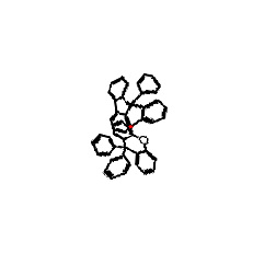 c1ccc(C2(c3ccccc3)c3ccccc3Oc3c(-c4ccccc4C4(c5ccccc5)c5ccccc5-c5ccccc54)cccc32)cc1